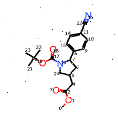 COC(=O)CC1CC(c2ccc(C#N)cc2)N(C(=O)OC(C)(C)C)C1